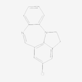 Clc1cc2c3c(c1)CCN3c1ccccc1N=C2